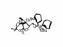 C#C[C@@]1(OC(C)=O)[C@@H](CO[Si](c2ccccc2)(c2ccccc2)C(C)(C)C)O[C@@H]2OC(C)(C)O[C@@H]21